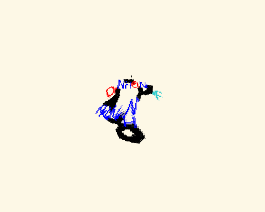 C[C@H]1CNC(=O)c2cnn3cc(-c4ccccc4)c(nc23)NCc2cc(F)cnc2O1